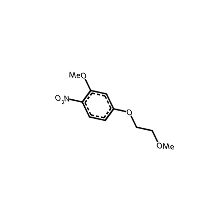 COCCOc1ccc([N+](=O)[O-])c(OC)c1